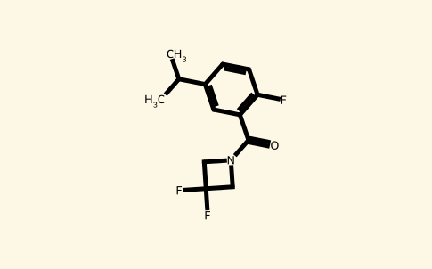 CC(C)c1ccc(F)c(C(=O)N2CC(F)(F)C2)c1